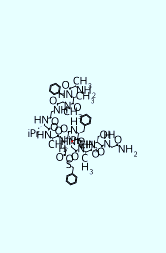 CC(C)C[C@H](NC(=O)CNC(=O)[C@H](Cc1ccccc1)N(C)C(=O)[C@H](C)NC(=O)[C@H](C)N)C(=O)N[C@@H](C)C(=O)N[C@H](C(=O)N[C@@H](Cc1ccccc1)C(=O)N[C@@H](CC(=O)OSCc1ccccc1)C(=O)N(C)[C@@H](C)C(=O)N[C@@H](CO)C(=O)NCC(N)=O)C(C)C